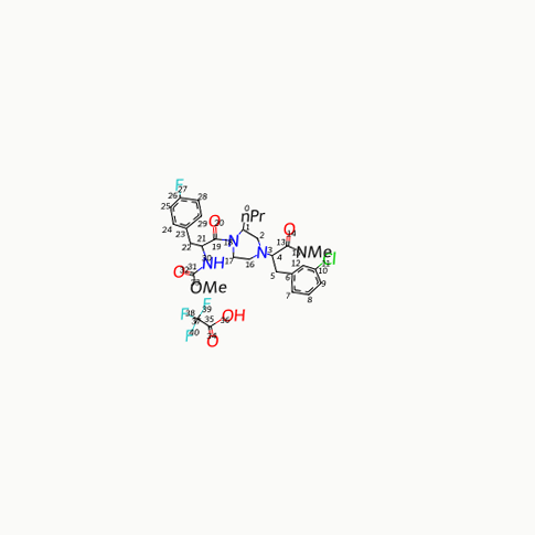 CCCC1CN(C(Cc2cccc(Cl)c2)C(=O)NC)CCN1C(=O)C(Cc1ccc(F)cc1)NC(=O)OC.O=C(O)C(F)(F)F